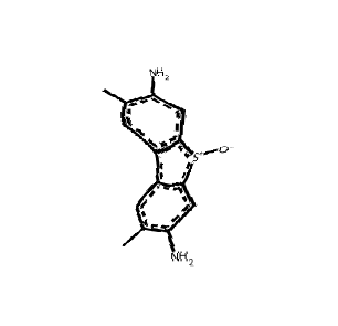 Cc1cc2c3cc(C)c(N)cc3[s+]([O-])c2cc1N